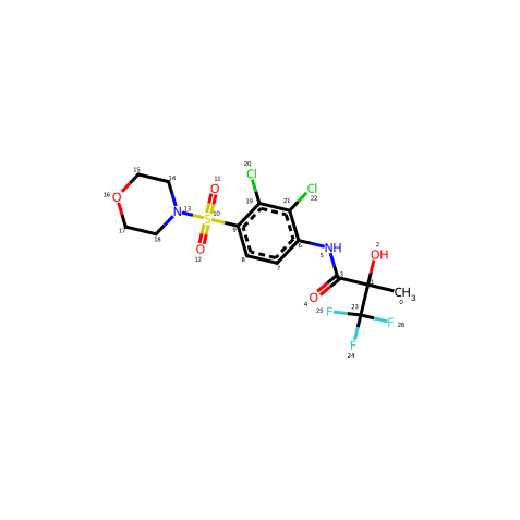 CC(O)(C(=O)Nc1ccc(S(=O)(=O)N2CCOCC2)c(Cl)c1Cl)C(F)(F)F